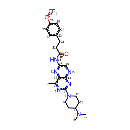 Cc1nc(N2CCC(N(C)C)CC2)nc2ncc(NC(=O)CCc3ccc(OC(F)(F)F)cc3)nc12